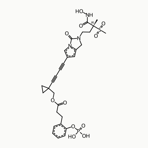 C[C@@](CCN1Cc2cc(C#CC#CC3(COC(=O)CCc4ccccc4OP(=O)(O)O)CC3)cn2C1=O)(C(=O)NO)S(C)(=O)=O